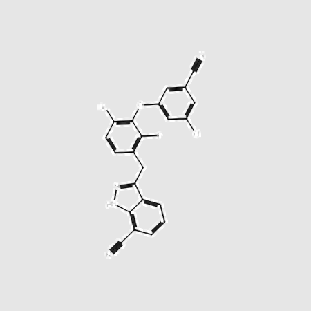 N#Cc1cc(Cl)cc(Oc2c(Br)ccc(Cc3n[nH]c4c(C#N)cccc34)c2F)c1